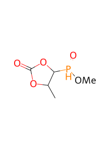 CO[PH](=O)C1OC(=O)OC1C